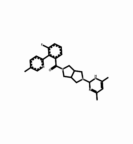 CC1=CC(C)=NC(N2CC3CN(C(=O)c4cccc(F)c4-c4ccc(C)cn4)CC3C2)N1